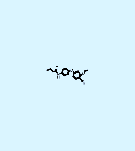 CC[CH]C(=O)Nc1ccc(Oc2ccc(C#N)c(OCC)c2)cc1